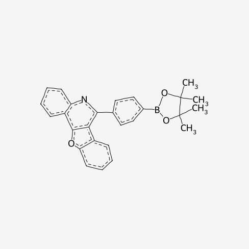 CC1(C)OB(c2ccc(-c3nc4ccccc4c4oc5ccccc5c34)cc2)OC1(C)C